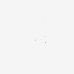 COCCc1cc(C(=O)/C=C/CC2CC(C)CC(F)(F)C2)c2c(Cl)cccn12